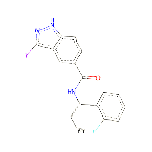 CC(C)C[C@H](NC(=O)c1ccc2[nH]nc(I)c2c1)c1ccccc1F